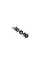 c1ccc2oc(-c3ccc(N4CC5CNCC5C4)cn3)cc2c1